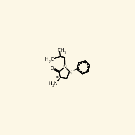 CC(C)CN1C(=O)[C@H](N)C[C@H]1c1ccccc1